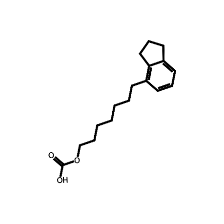 O=C(O)OCCCCCCCc1cccc2c1CCC2